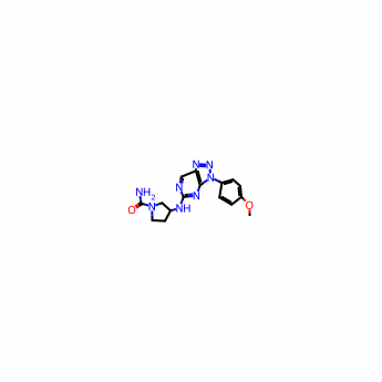 COc1ccc(-n2nnc3cnc(NC4CCN(C(N)=O)C4)nc32)cc1